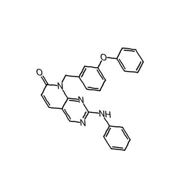 O=c1ccc2cnc(Nc3ccccc3)nc2n1Cc1cccc(Oc2ccccc2)c1